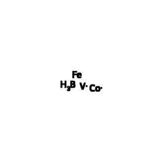 B.[Co].[Fe].[V]